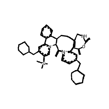 C=C1NCC2=C(C(=C)O1)c1cc(CC3CCCCC3)cc[n+]1C(=C)C1C(CC2)c2ccccc2-c2cc(CC3CCCCC3)c([Si](C)(C)C)c[n+]21